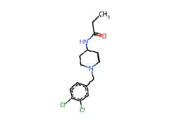 CCC(=O)NC1CCN(Cc2ccc(Cl)c(Cl)c2)CC1